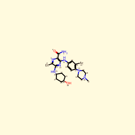 CCc1nc(C(N)=O)c(Nc2ccc(N3CCN(C)CC3)c(C(C)=O)c2)nc1N[C@H]1CC[C@H](O)CC1